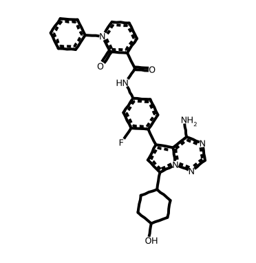 Nc1ncnn2c(C3CCC(O)CC3)cc(-c3ccc(NC(=O)c4cccn(-c5ccccc5)c4=O)cc3F)c12